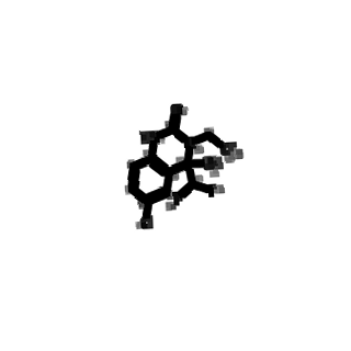 O=C1Nc2ccc(Cl)cc2C(O)(C(F)F)N1CC(F)(F)F